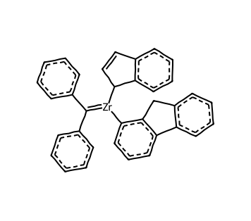 C1=C[CH]([Zr](=[C](c2ccccc2)c2ccccc2)[c]2cccc3c2Cc2ccccc2-3)c2ccccc21